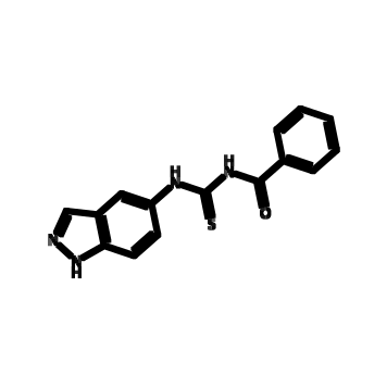 O=C(NC(=S)Nc1ccc2[nH]ncc2c1)c1ccccc1